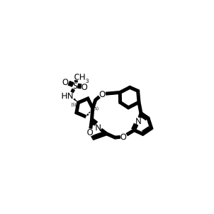 CS(=O)(=O)N[C@H]1CC[C@@]2(COC3CCC(CC3)c3cccc(n3)OCc3coc2n3)C1